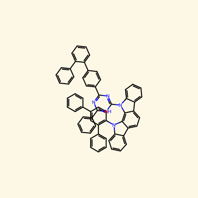 c1ccc(-c2ccc(-n3c4ccccc4c4ccc5c6ccccc6n(C6=NC(c7ccc(-c8ccccc8-c8ccccc8)cc7)=NC(c7ccccc7)N6)c5c43)c(-c3ccccc3)c2)cc1